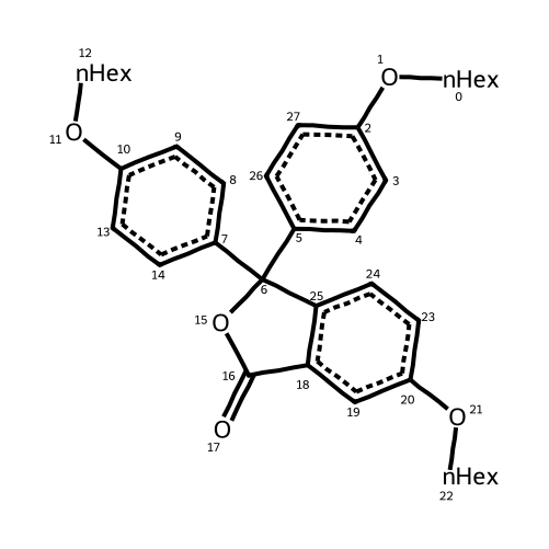 CCCCCCOc1ccc(C2(c3ccc(OCCCCCC)cc3)OC(=O)c3cc(OCCCCCC)ccc32)cc1